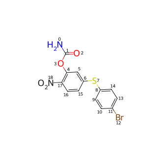 NC(=O)Oc1cc(Sc2ccc(Br)cc2)ccc1[N+](=O)[O-]